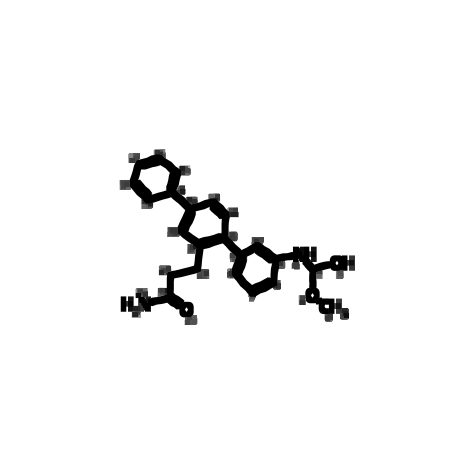 COC(O)Nc1cccc(-c2ccc(-c3ccccc3)cc2CCC(N)=O)c1